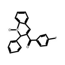 O=C(C1=Cc2ccccc2[S+]([O-])C1c1ccccc1)c1ccc(F)cc1